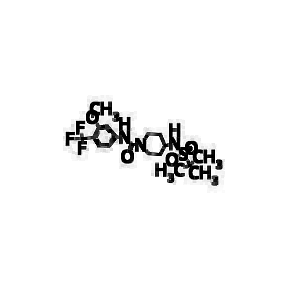 COc1cc(NC(=O)N2CCC(NS(=O)(=O)C(C)(C)C)CC2)ccc1C(F)(F)F